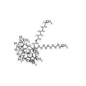 [CH2]C(Cc1cc(C(C)(C)C)c(O)c(C(C)(C)C)c1)(Cc1cc(C(C)(C)C)c(O)c(C(C)(C)C)c1)[SH](CCCCCCCCCCCC)CCCCCCCCCCCC